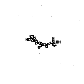 CCC(COC)(COC(=O)CCSc1cccc(O)c1O)COC(=O)CCSc1cccc(O)c1O